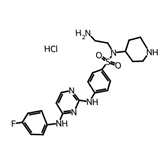 Cl.NCCN(C1CCNCC1)S(=O)(=O)c1ccc(Nc2nccc(Nc3ccc(F)cc3)n2)cc1